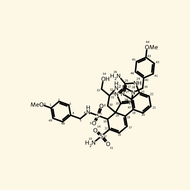 COc1ccc(CNS(=O)(=O)C2C(S(N)(=O)=O)=CC=C(c3cccc4[nH]c(N)nc34)C2(CC(N)CO)c2nnn(Cc3ccc(OC)cc3)n2)cc1